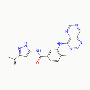 C=C(C)c1cc(NC(=O)c2ccc(C)c(Nc3ncnc4cncnc34)c2)[nH]n1